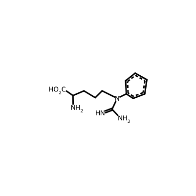 N=C(N)N(CCCC(N)C(=O)O)c1ccccc1